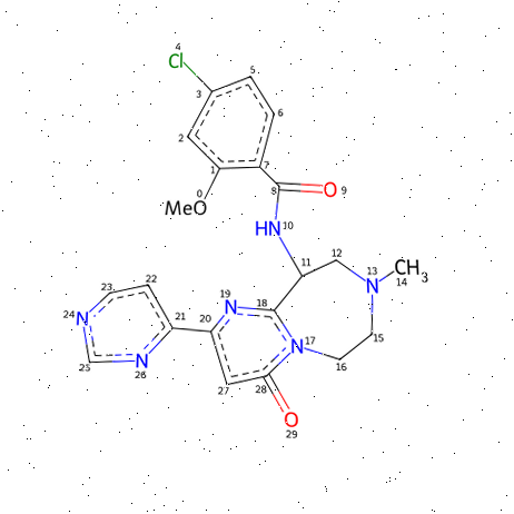 COc1cc(Cl)ccc1C(=O)NC1CN(C)CCn2c1nc(-c1ccncn1)cc2=O